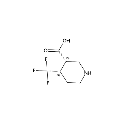 O=C(O)[C@@H]1CNCC[C@@H]1C(F)(F)F